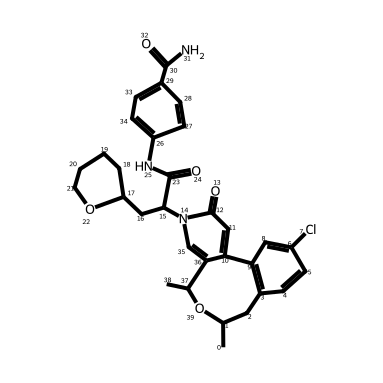 CC1Cc2ccc(Cl)cc2-c2cc(=O)n(C(CC3CCCCO3)C(=O)Nc3ccc(C(N)=O)cc3)cc2C(C)O1